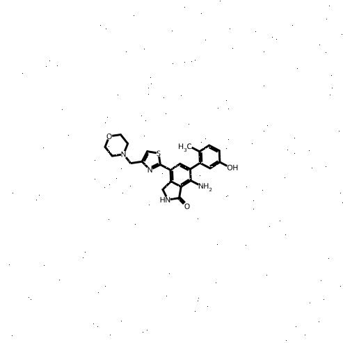 Cc1ccc(O)cc1-c1cc(-c2nc(CN3CCOCC3)cs2)c2c(c1N)C(=O)NC2